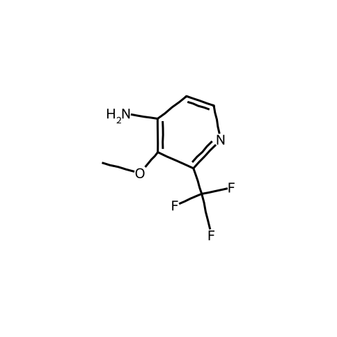 COc1c(N)ccnc1C(F)(F)F